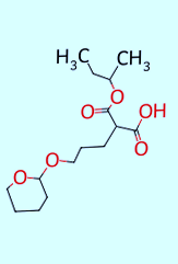 CCC(C)OC(=O)C(CCCOC1CCCCO1)C(=O)O